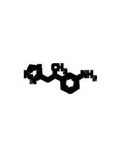 CC(Cc1nncs1)c1cccc(N)c1